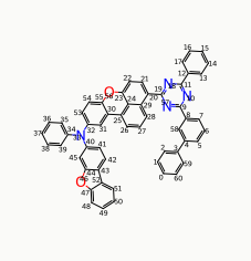 c1ccc(-c2cccc(-c3nc(-c4ccccc4)nc(-c4ccc5c6c(cccc46)-c4cc(N(c6ccccc6)c6ccc7c(c6)oc6ccccc67)ccc4O5)n3)c2)cc1